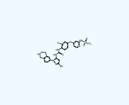 CC(C)c1cc(NC(=O)Nc2ccc(Oc3ccnc(NS(C)(=O)=O)c3)cc2F)n(-c2ccc3c(c2)CCNC3)n1